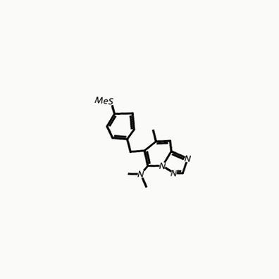 CSc1ccc(Cc2c(C)cc3ncnn3c2N(C)C)cc1